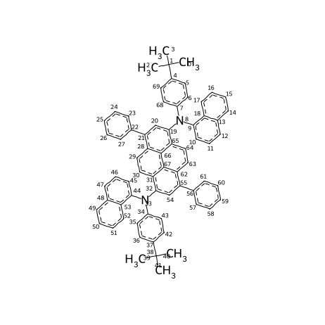 CC(C)(C)c1ccc(N(c2cccc3ccccc23)c2cc(-c3ccccc3)c3ccc4c(N(c5ccc(C(C)(C)C)cc5)c5cccc6ccccc56)cc(-c5ccccc5)c5ccc2c3c54)cc1